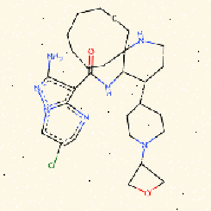 Nc1nn2cc(Cl)cnc2c1C(=O)NC1C(C2CCN(C3COC3)CC2)CCNC12CCCCCCCC2